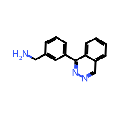 NCc1cccc(-c2nncc3ccccc23)c1